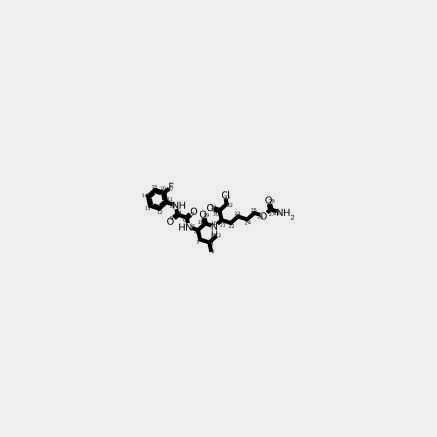 CC(C)CC(NC(=O)C(=O)Nc1ccccc1F)C(=O)NC(CCCCOC(N)=O)C(=O)CCl